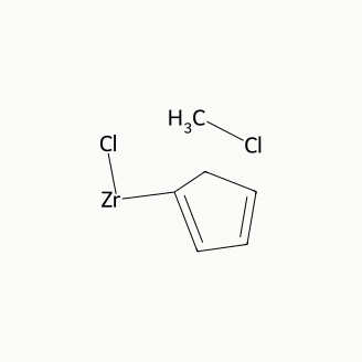 CCl.[Cl][Zr][C]1=CC=CC1